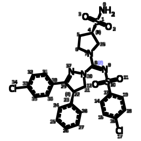 NS(=O)(=O)[C@@H]1CCN(/C(=N/S(=O)(=O)c2ccc(Cl)cc2)N2C[C@@H](c3ccccc3)C(c3ccc(Cl)cc3)=N2)C1